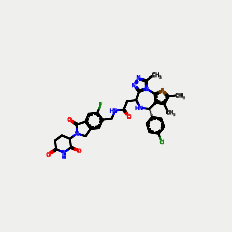 Cc1sc2c(c1C)[C@H](c1ccc(Cl)cc1)NC(CC(=O)NCc1cc3c(cc1F)C(=O)N(C1CCC(=O)NC1=O)C3)c1nnc(C)n1-2